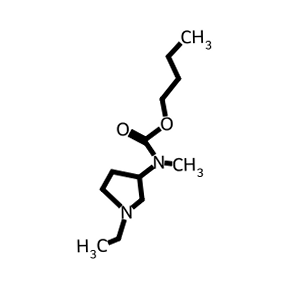 CCCCOC(=O)N(C)C1CCN(CC)C1